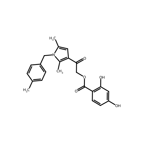 Cc1ccc(Cn2c(C)cc(C(=O)COC(=O)c3ccc(O)cc3O)c2C)cc1